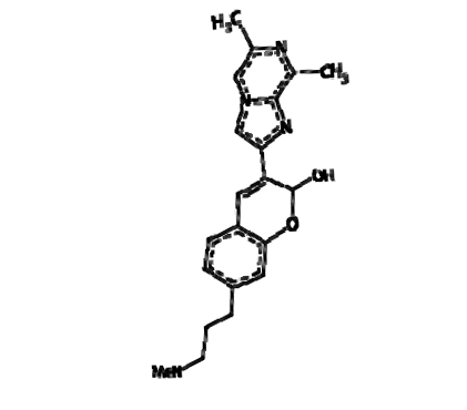 CNCCCc1ccc2c(c1)OC(O)C(c1cn3cc(C)nc(C)c3n1)=C2